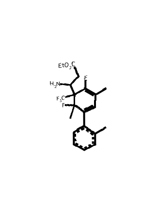 CCOC(=O)CC(N)C1(C(F)(F)F)C(F)=C(C)C=C(c2ccccc2C)C1(C)F